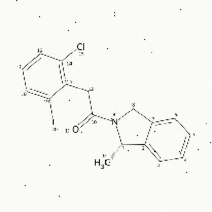 C[C@H]1c2ccccc2CN1C(=O)Cc1c(Cl)cccc1I